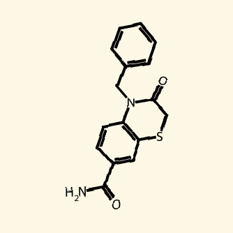 NC(=O)c1ccc2c(c1)SCC(=O)N2Cc1ccccc1